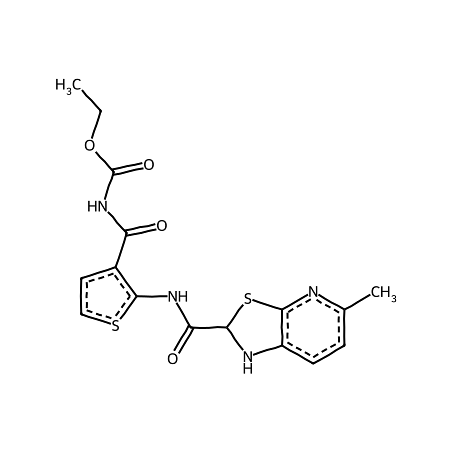 CCOC(=O)NC(=O)c1ccsc1NC(=O)C1Nc2ccc(C)nc2S1